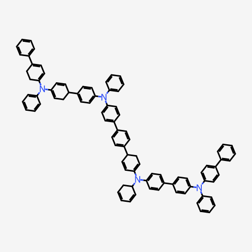 C1=CCC(N(C2=CCC(c3ccc(-c4ccc(N(c5ccccc5)c5ccc(C6C=CC(N(C7=CC=C(c8ccccc8)CC7)c7ccccc7)=CC6)cc5)cc4)cc3)C=C2)c2ccc(-c3ccc(N(c4ccccc4)c4ccc(-c5ccccc5)cc4)cc3)cc2)C=C1